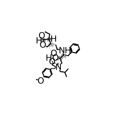 COc1ccc([S+]([O-])N(CC(C)C)C[C@@H](O)[C@H](Cc2ccccc2)NC(=O)C[C@@H]2CO[C@@H]3OCC[C@H]23)cc1